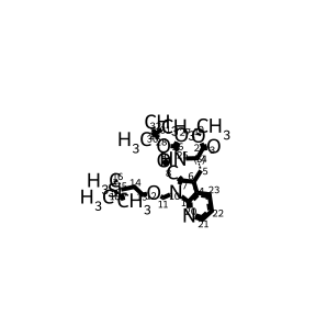 COC(=O)[C@H](CC1C(=C=O)N(COCC[Si](C)(C)C)c2ncccc21)NC(=O)OC(C)(C)C